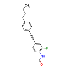 CCCCc1ccc(C#Cc2ccc(NC=O)c(F)c2)cc1